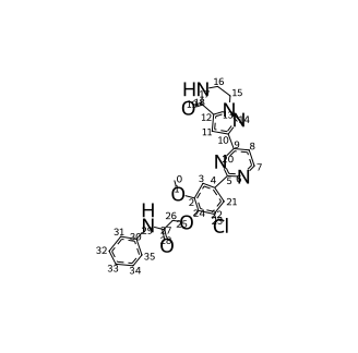 COc1cc(-c2nccc(-c3cc4n(n3)CCNC4=O)n2)cc(Cl)c1OCC(=O)Nc1ccccc1